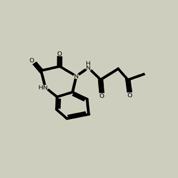 CC(=O)CC(=O)Nn1c(=O)c(=O)[nH]c2ccccc21